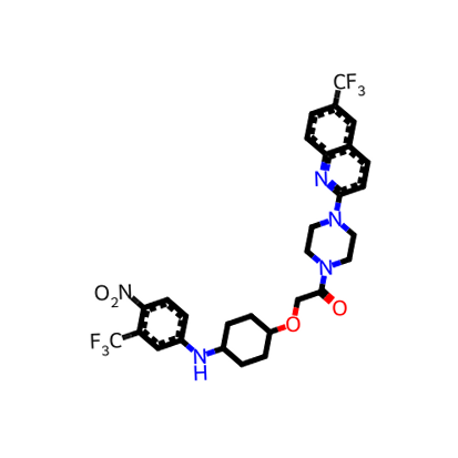 O=C(COC1CCC(Nc2ccc([N+](=O)[O-])c(C(F)(F)F)c2)CC1)N1CCN(c2ccc3cc(C(F)(F)F)ccc3n2)CC1